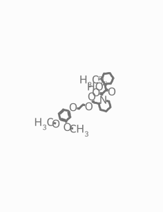 COc1ccc(OCCOC(=O)C2CCCCN2C(=O)C(=O)[C@]2(O)CCCC[C@H]2C)cc1OC